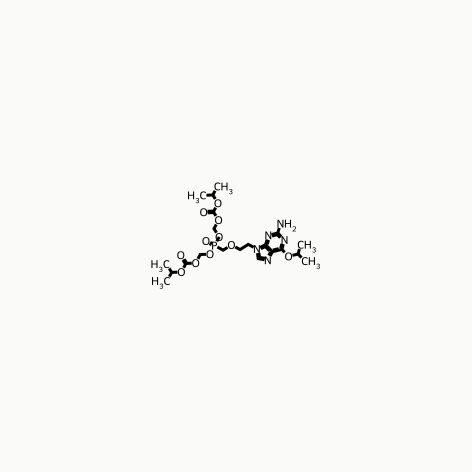 CC(C)OC(=O)OCOP(=O)(COCCn1cnc2c(OC(C)C)nc(N)nc21)OCOC(=O)OC(C)C